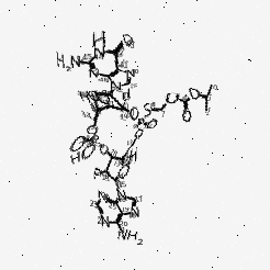 CC(C)OC(=O)OCSP1(=O)OC[C@H]2O[C@@H](n3cnc4c(N)ncnc43)[C@@H](F)C2OP(=O)(O)OC[C@H]2O[C@@H](n3cnc4c(=O)[nH]c(N)nc43)[C@@H](O1)C2O